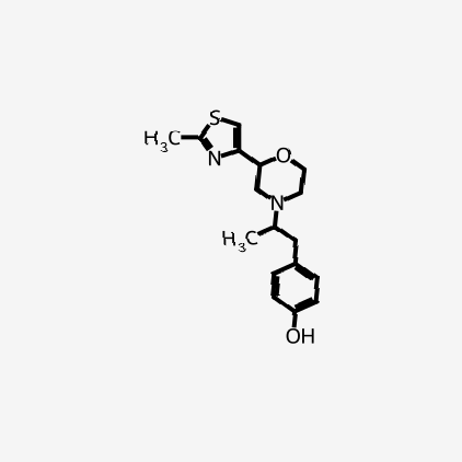 Cc1nc(C2CN(C(C)Cc3ccc(O)cc3)CCO2)cs1